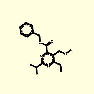 CCc1nc(C(C)C)nc(C(=O)OCc2ccccc2)c1COC